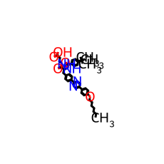 CCCCCCCOc1ccc(-c2cnc(-c3ccc(CC(NC(=O)c4ccc(C(C)(C)C)cc4)C(=O)NCCC(=O)O)cc3)nc2)cc1